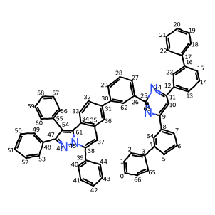 c1ccc(-c2cccc(-c3cc(-c4cccc(-c5ccccc5)c4)nc(-c4cccc(-c5ccc6c(c5)cc(-c5ccccc5)n5nc(-c7ccccc7)c(-c7ccccc7)c65)c4)n3)c2)cc1